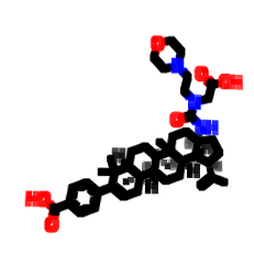 C=C(C)[C@@H]1CC[C@]2(NC(=O)N(CCN3CCOCC3)CC(=O)O)CC[C@]3(C)[C@H](CC[C@@H]4[C@@]5(C)CC=C(c6ccc(C(=O)O)cc6)C(C)(C)[C@@H]5CC[C@]43C)[C@@H]12